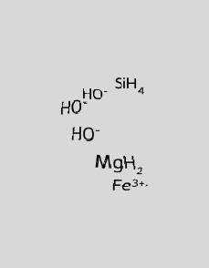 [Fe+3].[MgH2].[OH-].[OH-].[OH-].[SiH4]